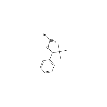 CC(C)(C)C(O[SiH2]Br)c1ccccc1